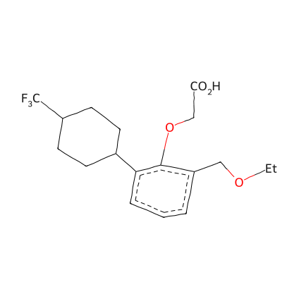 CCOCc1cccc(C2CCC(C(F)(F)F)CC2)c1OCC(=O)O